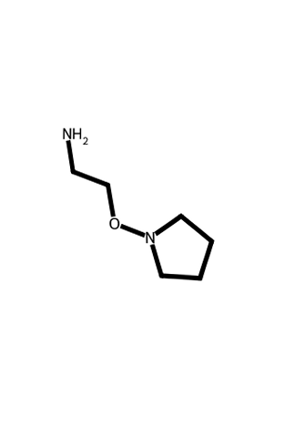 NCCON1CCCC1